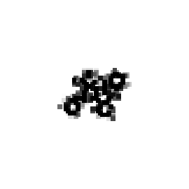 NC(=O)C(O)C(Cc1ccccc1)NC(=O)c1cccnc1-c1nc2ccccc2o1